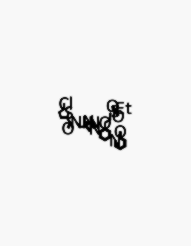 CCS(=O)(=O)CCOc1cc(-n2ccccc2=O)ccc1-n1cc(CNC(=O)C2=CCC(Cl)S2)nn1